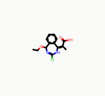 CCOC1N=C(Cl)N/C(=C(\C)C(=O)O)c2ccccc21